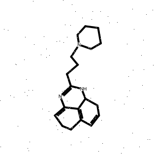 C1=CC2=C3C(=CCC2)N=C(CCCN2CCCCC2)NC3C1